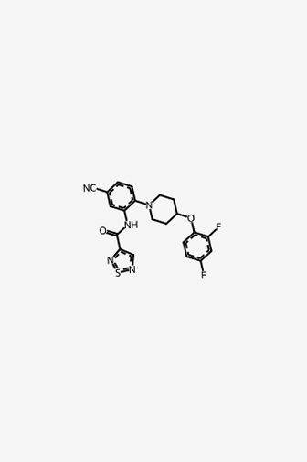 N#Cc1ccc(N2CCC(Oc3ccc(F)cc3F)CC2)c(NC(=O)c2cnsn2)c1